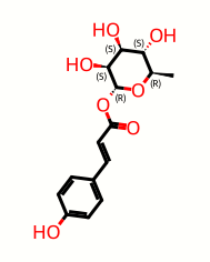 C[C@H]1O[C@H](OC(=O)C=Cc2ccc(O)cc2)[C@@H](O)[C@@H](O)[C@@H]1O